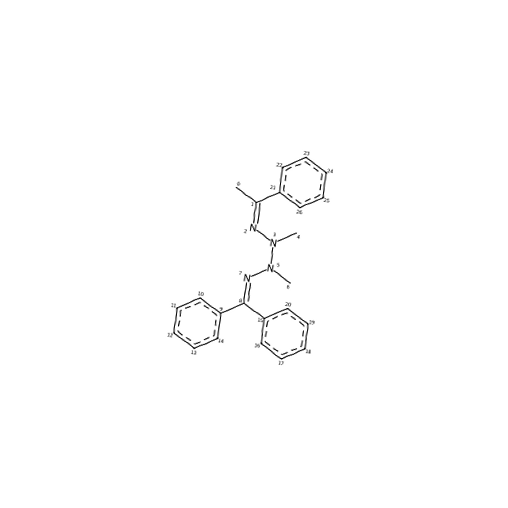 CC(=NN(C)N(C)N=C(c1ccccc1)c1ccccc1)c1ccccc1